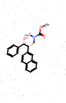 CN(C[C@H](c1ccc2ccccc2c1)[C@@H](O)c1ccccc1)C(=O)OC(C)(C)C